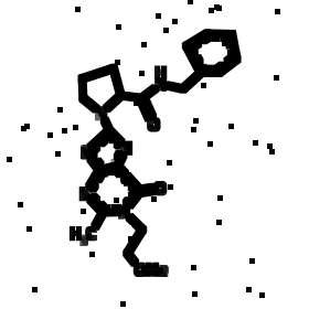 COCCn1c(C)nc2sc(N3CCCC3C(=O)NCc3ccccc3)nc2c1=O